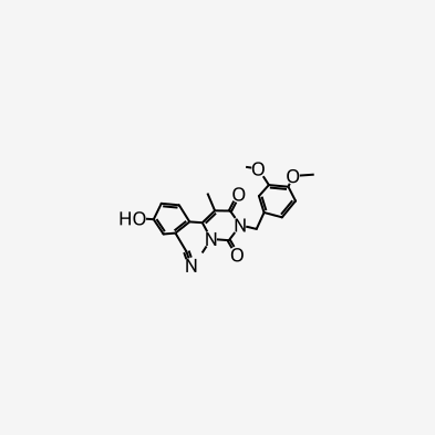 COc1ccc(Cn2c(=O)c(C)c(-c3ccc(O)cc3C#N)n(C)c2=O)cc1OC